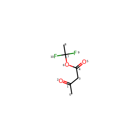 CC(=O)CC(=O)OC(C)(F)F